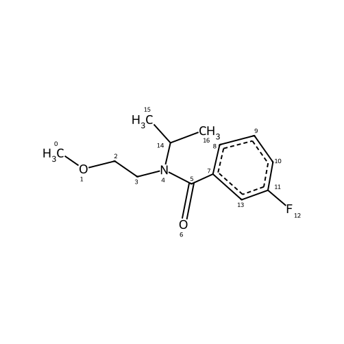 COCCN(C(=O)c1cccc(F)c1)C(C)C